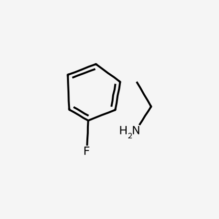 CCN.Fc1ccccc1